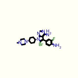 CN1CCN([C@H]2CC[C@@H](n3c(Br)c(-c4ccc(N)c(F)c4)c4c(N)ncnc43)CC2)CC1